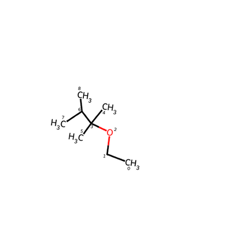 CCOC(C)(C)C(C)C